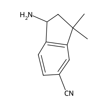 CC1(C)CC(N)c2ccc(C#N)cc21